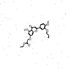 C=CCOc1cc(-c2cc(=O)c3c(O)cc(OCC(=O)OCC)cc3o2)ccc1OC